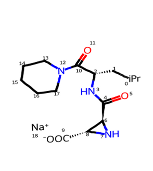 CC(C)C[C@H](NC(=O)[C@H]1N[C@@H]1C(=O)[O-])C(=O)N1CCCCC1.[Na+]